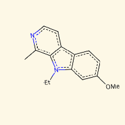 C[CH]n1c2cc(OC)ccc2c2ccnc(C)c21